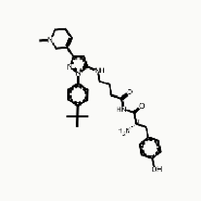 CN1CCC=C(c2cc(NCCCC(=O)NC(=O)[C@@H](N)Cc3ccc(O)cc3)n(-c3ccc(C(C)(C)C)cc3)n2)C1